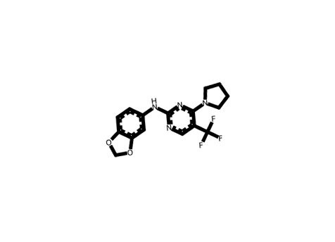 FC(F)(F)c1cnc(Nc2ccc3c(c2)OCO3)nc1N1CCCC1